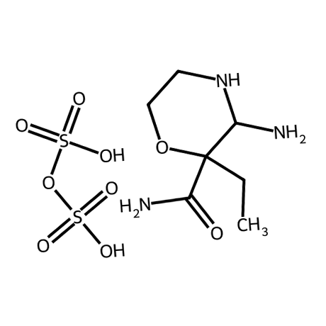 CCC1(C(N)=O)OCCNC1N.O=S(=O)(O)OS(=O)(=O)O